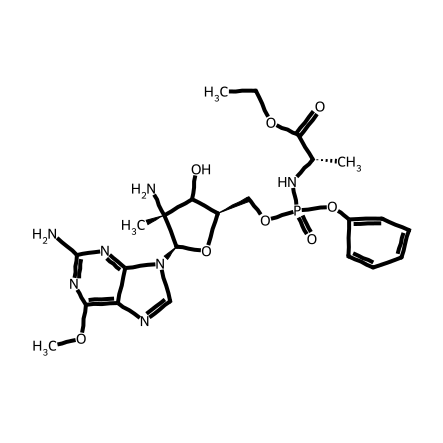 CCOC(=O)[C@H](C)NP(=O)(OC[C@H]1O[C@@H](n2cnc3c(OC)nc(N)nc32)[C@](C)(N)C1O)Oc1ccccc1